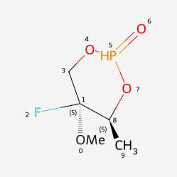 CO[C@]1(F)CO[PH](=O)O[C@H]1C